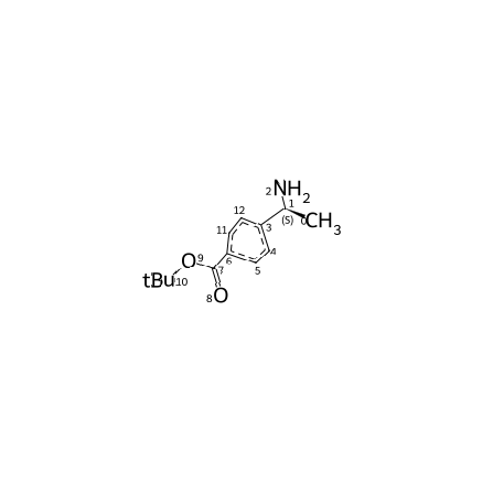 C[C@H](N)c1ccc(C(=O)OC(C)(C)C)cc1